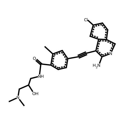 Cc1cc(C#Cc2c(N)ncc3ccc(Cl)cc23)ccc1C(=O)NCC(O)CN(C)C